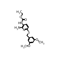 CCOC(=O)Nc1ccc(SCc2cc(OC)cc(OC)c2)nc1N